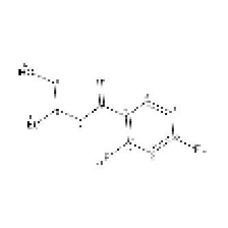 C=C(CC(CC)CO)c1ccc(F)cc1F